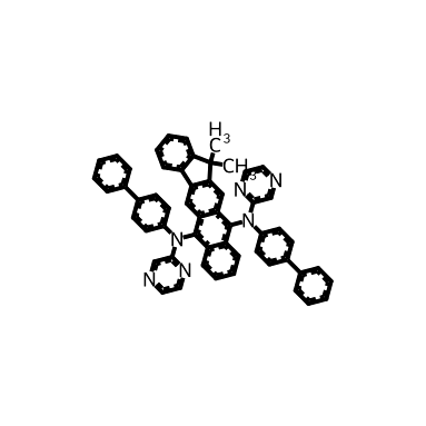 CC1(C)c2ccccc2-c2cc3c(N(c4ccc(-c5ccccc5)cc4)c4cnccn4)c4ccccc4c(N(c4ccc(-c5ccccc5)cc4)c4cnccn4)c3cc21